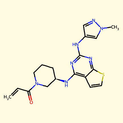 C=CC(=O)N1CCC[C@@H](Nc2nc(Nc3cnn(C)c3)nc3sccc23)C1